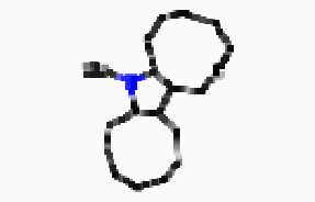 CC(C)(C)N1C2CCCCCCCC2C2CCCCCCCC21